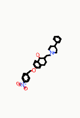 O=C1c2ccc(OCc3ccc([N+](=O)[O-])cc3)cc2CCC1CCN1CCC(c2ccccc2)CC1